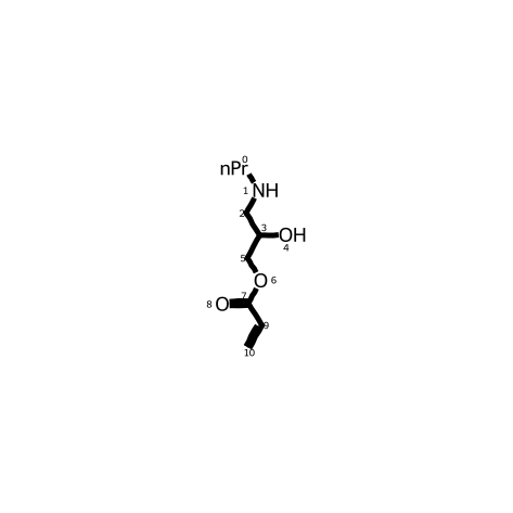 [CH2]CCNCC(O)COC(=O)C=C